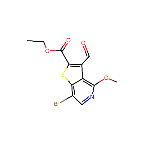 CCOC(=O)c1sc2c(Br)cnc(OC)c2c1C=O